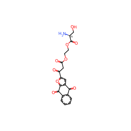 N[C@@H](CO)C(=O)OCCOC(=O)CC(=O)c1cc2c(o1)C(=O)c1ccccc1C2=O